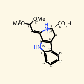 COC(C=C1N[C@H](C(=O)O)Cc2c1[nH]c1ccccc21)OC